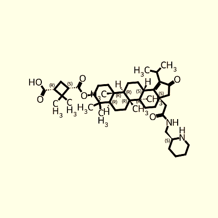 CC(C)C1=C2[C@H]3CC[C@@H]4[C@@]5(C)CC[C@H](OC(=O)[C@H]6C[C@@H](C(=O)O)C6(C)C)C(C)(C)[C@@H]5CC[C@@]4(C)[C@]3(C)CC[C@@]2(CC(=O)NC[C@@H]2CCCCN2)CC1=O